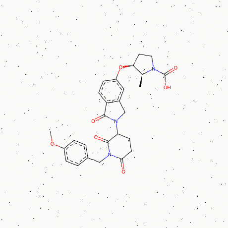 COc1ccc(CN2C(=O)CCC(N3Cc4cc(O[C@H]5CCN(C(=O)O)[C@H]5C)ccc4C3=O)C2=O)cc1